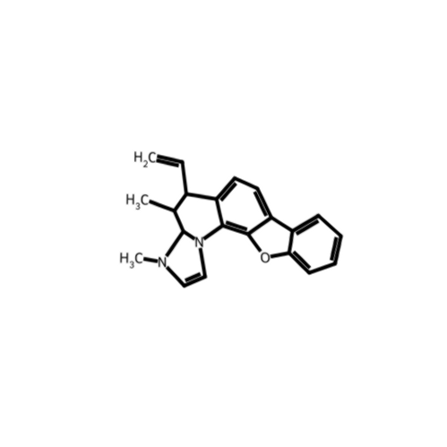 C=CC1c2ccc3c(oc4ccccc43)c2N2C=CN(C)C2C1C